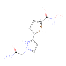 NC(=O)Cn1ccc(-c2ccc(C(=O)NO)s2)n1